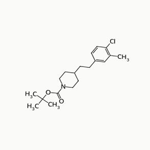 Cc1cc(CCC2CCN(C(=O)OC(C)(C)C)CC2)ccc1Cl